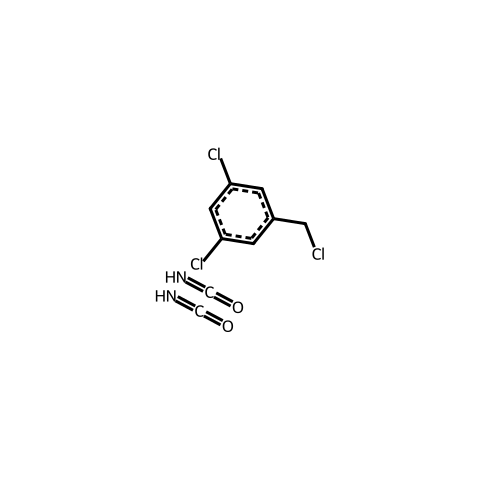 ClCc1cc(Cl)cc(Cl)c1.N=C=O.N=C=O